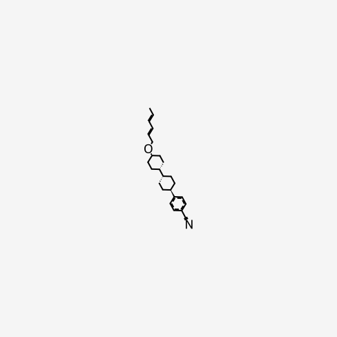 CC=CC=CCO[C@H]1CC[C@H]([C@H]2CC[C@H](c3ccc(C#N)cc3)CC2)CC1